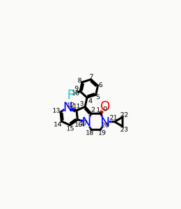 O=C1c2c(-c3ccccc3F)c3ncccc3n2CCN1C1CC1